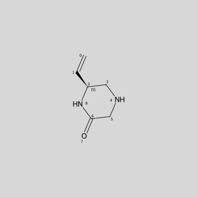 C=C[C@H]1CNCC(=O)N1